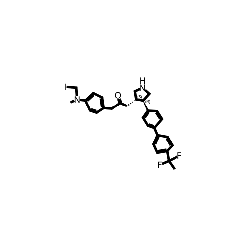 CN(CI)c1ccc(CC(=O)C[C@@H]2CNC[C@H]2c2ccc(-c3ccc(C(C)(F)F)cc3)cc2)cc1